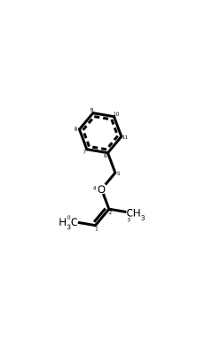 C/C=C(/C)OCc1ccccc1